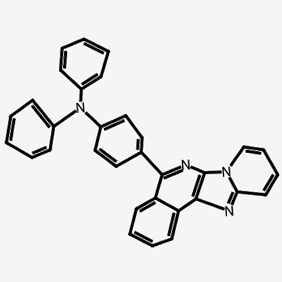 c1ccc(N(c2ccccc2)c2ccc(-c3nc4c(nc5ccccn54)c4ccccc34)cc2)cc1